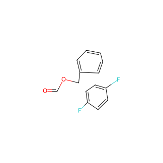 Fc1ccc(F)cc1.O=COCc1ccccc1